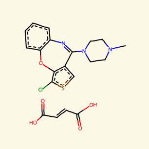 CN1CCN(C2=Nc3ccccc3Oc3c2csc3Cl)CC1.O=C(O)C=CC(=O)O